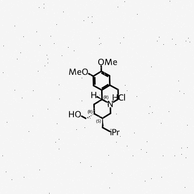 COc1cc2c(cc1OC)[C@H]1C[C@@H](CO)[C@H](CC(C)C)CN1CC2.Cl